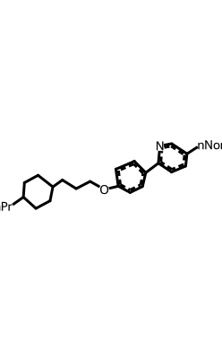 CCCCCCCCCc1ccc(-c2ccc(OCCCC3CCC(CCC)CC3)cc2)nc1